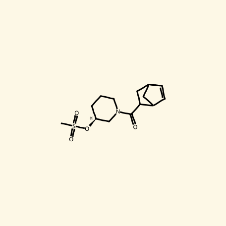 CS(=O)(=O)O[C@H]1CCCN(C(=O)C2CC3C=CC2C3)C1